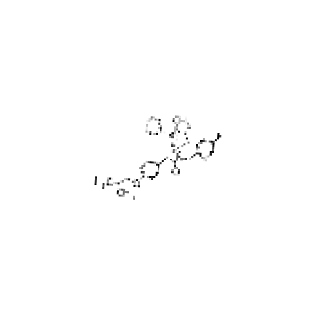 CC(C)COc1ccc(CC(=O)N(Cc2ccc(F)cc2)[C@@H]2CCN(C)[C@@H](c3ccccc3)C2)cc1